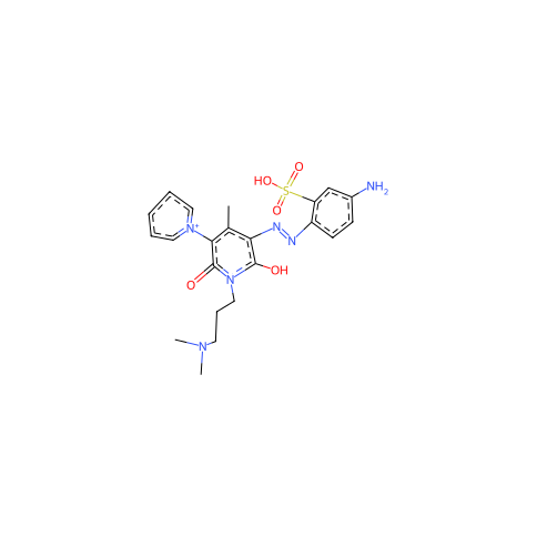 Cc1c(N=Nc2ccc(N)cc2S(=O)(=O)O)c(O)n(CCCN(C)C)c(=O)c1-[n+]1ccccc1